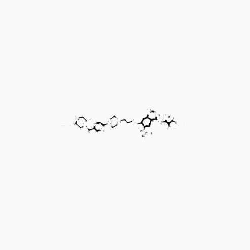 Cc1n[nH]c(Nc2ncnc3cc(OCCCN4CCN(c5cnc(C(=O)N6CCN[C@H](C)C6)cn5)CC4)c(S(=O)(=O)C(C)(C)C)cc23)c1C